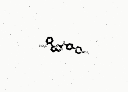 CCOC(=O)c1ccccc1-c1ccc2cnc(Nc3ccc(N4CCN(C)CC4)cc3)nn12